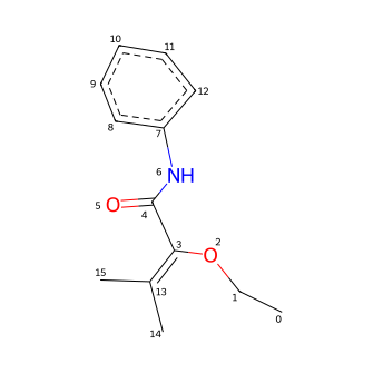 CCOC(C(=O)Nc1ccccc1)=C(C)C